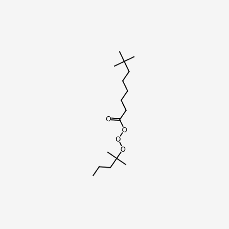 CCCC(C)(C)OOOC(=O)CCCCCC(C)(C)C